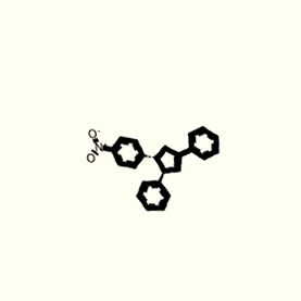 O=[N+]([O-])c1ccc([C@@H]2CC(c3ccccc3)=C[C@H]2c2ccccc2)cc1